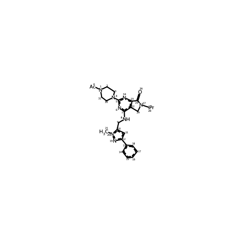 CC(=O)N1CCN(c2nc(NCc3cc(-c4ccccc4)nn3C)c3c(n2)C(=O)N(C(C)C)C3)CC1